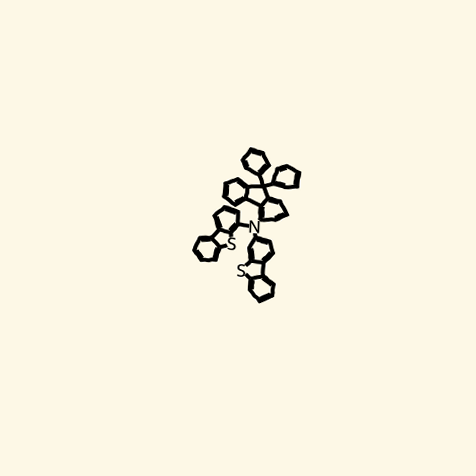 c1ccc(C2(c3ccccc3)c3ccccc3-c3c(N(c4ccc5c(c4)sc4ccccc45)c4cccc5c4sc4ccccc45)cccc32)cc1